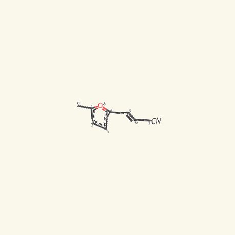 Cc1ccc(C=CC#N)o1